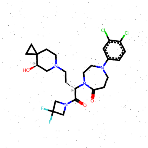 O=C([C@H](CCN1CCC2(CC2)[C@H](O)C1)N1CCN(c2ccc(Cl)c(Cl)c2)CCC1=O)N1CC(F)(F)C1